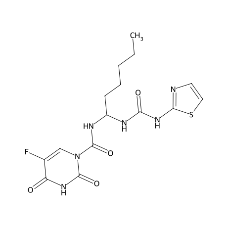 CCCCCC(NC(=O)Nc1nccs1)NC(=O)n1cc(F)c(=O)[nH]c1=O